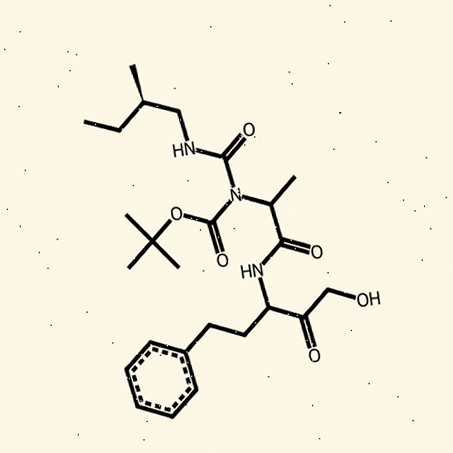 CC[C@@H](C)CNC(=O)N(C(=O)OC(C)(C)C)C(C)C(=O)NC(CCc1ccccc1)C(=O)CO